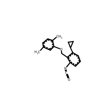 Cc1ccc(C)c(OCc2c(N=C=O)cccc2C2CC2)c1